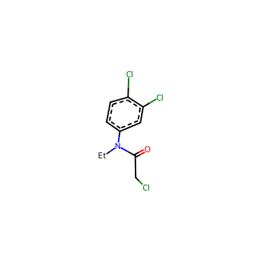 CCN(C(=O)CCl)c1ccc(Cl)c(Cl)c1